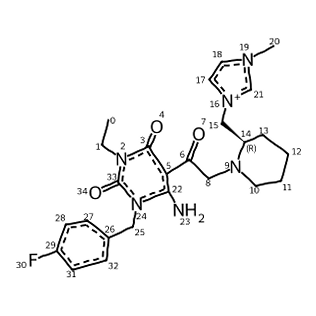 CCn1c(=O)c(C(=O)CN2CCCC[C@@H]2C[n+]2ccn(C)c2)c(N)n(Cc2ccc(F)cc2)c1=O